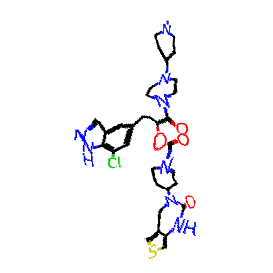 CN1CCC(N2CCN(C(=O)C(Cc3cc(Cl)c4[nH]ncc4c3)OC(=O)N3CCC(N4Cc5cscc5NC4=O)CC3)CC2)CC1